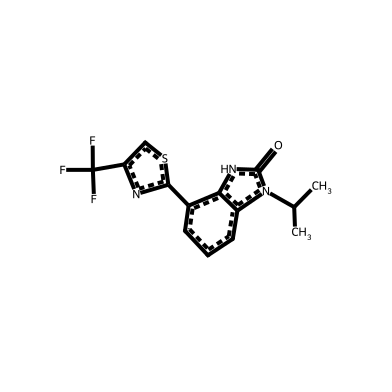 CC(C)n1c(=O)[nH]c2c(-c3nc(C(F)(F)F)cs3)cccc21